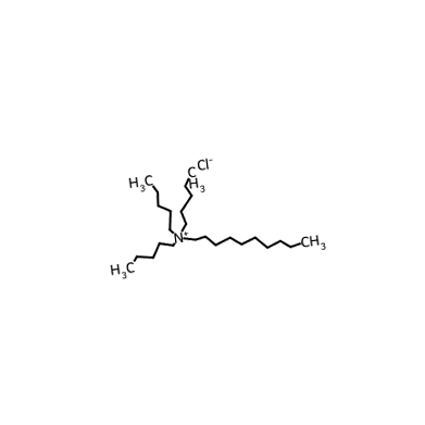 CCCCCCCCCC[N+](CCCCC)(CCCCC)CCCCC.[Cl-]